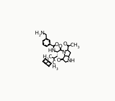 CC(=O)C1CC2NCC(=O)C2N1C(=O)[C@H](CC(C)C)NC(=O)c1cccc(CN)c1.c1cc2ccc1-2